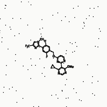 COc1ncnc(C2CC2)c1-c1nccc(OCc2cc(F)c(-c3nc(C(F)(F)F)cn3C)cc2F)n1